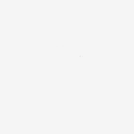 CCCCCCCCCCCCc1c(Oc2ccccc2)cccc1S(=O)(=O)O